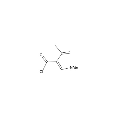 C=C(C)/C(=C\NC)C(=O)Cl